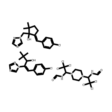 CC(C)(C)C(O)/C(=C\c1ccc(Cl)cc1)n1cncn1.CC1(C)CC/C(=C\c2ccc(Cl)cc2)C1(O)Cn1cncn1.O=CNC(N1CCN(C(NC=O)C(Cl)(Cl)Cl)CC1)C(Cl)(Cl)Cl